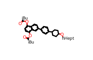 CCCCCCCOC1CCC(c2ccc(-c3ccc4c(OC(=O)C(C)CC)ccc(OC(=O)C(C)CC)c4c3)cc2)CC1